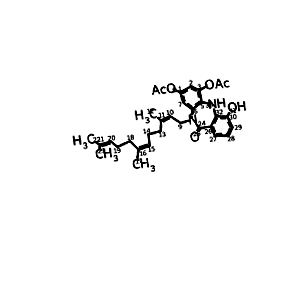 CC(=O)Oc1cc(OC(C)=O)c2c(c1)N(CC=C(C)CCC=C(C)CCC=C(C)C)C(=O)c1cccc(O)c1N2